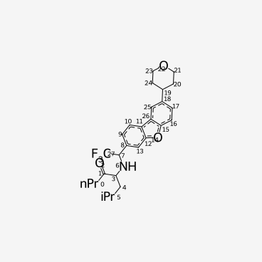 CCCC(=O)C(CC(C)C)NC(c1ccc2c(c1)oc1ccc(C3CCOCC3)cc12)C(F)(F)F